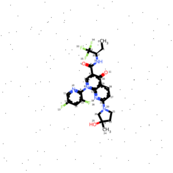 CC[C@@H](NC(=O)c1cn(-c2ncc(F)cc2F)c2nc(N3CCC(C)(O)C3)ccc2c1=O)C(F)(F)F